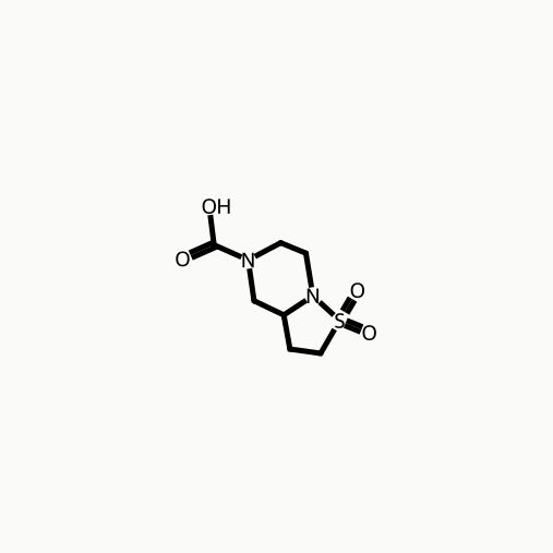 O=C(O)N1CCN2C(CCS2(=O)=O)C1